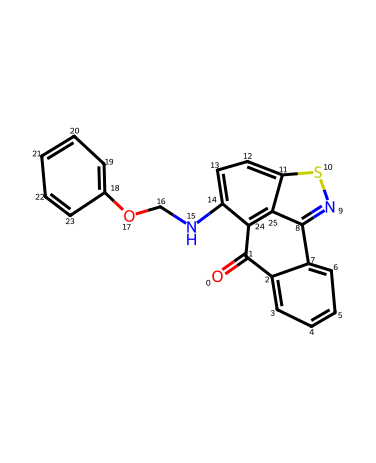 O=C1c2ccccc2-c2nsc3ccc(NCOc4ccccc4)c1c23